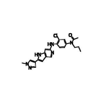 CCCN(C(C)=O)c1ccc(Nc2cc3[nH]c(-c4cnn(C)c4)cc3cn2)c(Cl)c1